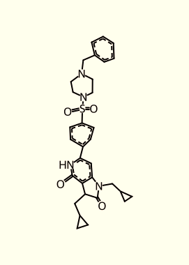 O=C1C(CC2CC2)c2c(cc(-c3ccc(S(=O)(=O)N4CCN(Cc5ccccc5)CC4)cc3)[nH]c2=O)N1CC1CC1